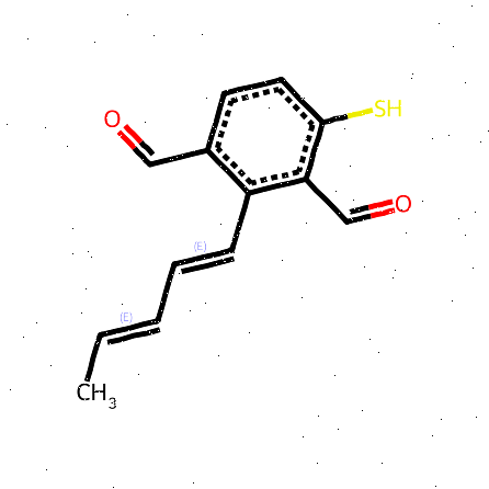 C/C=C/C=C/c1c(C=O)ccc(S)c1C=O